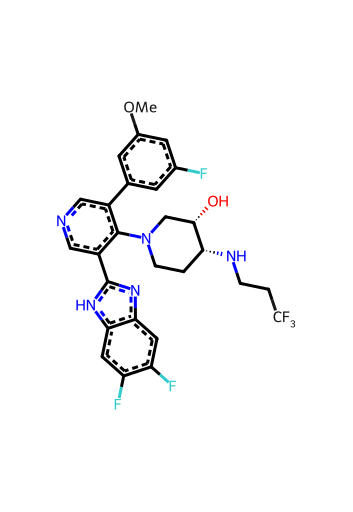 COc1cc(F)cc(-c2cncc(-c3nc4cc(F)c(F)cc4[nH]3)c2N2CC[C@@H](NCCC(F)(F)F)[C@@H](O)C2)c1